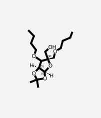 CCCCOC[C@@]1(CO)O[C@H]2OC(C)(C)O[C@H]2C1OCCCC